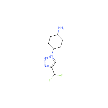 NC1CCC(n2cc(C(F)F)nn2)CC1